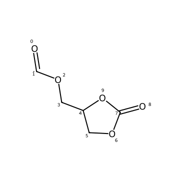 O=[C]OCC1COC(=O)O1